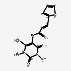 CCCn1c(N)c(NC(=O)C=Cc2ccco2)c(=O)n(CCC)c1=O